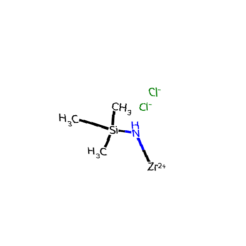 C[Si](C)(C)[NH][Zr+2].[Cl-].[Cl-]